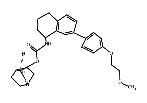 COCCOc1ccc(-c2ccc3c(c2)C(NC(=O)O[C@H]2CN4CCC2CC4)CCC3)cc1